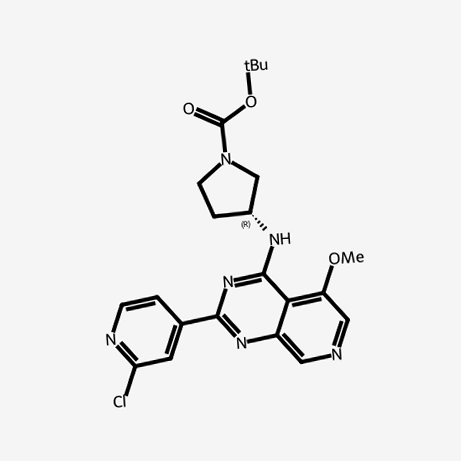 COc1cncc2nc(-c3ccnc(Cl)c3)nc(N[C@@H]3CCN(C(=O)OC(C)(C)C)C3)c12